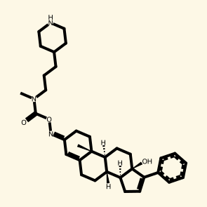 CN(CCCC1CCNCC1)C(=O)O/N=C1/C=C2CC[C@@H]3[C@H](CC[C@]4(O)C(c5ccccc5)=CC[C@@H]34)[C@@]2(C)CC1